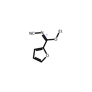 CCO/C(=N/C#N)c1ccco1